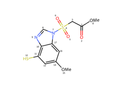 COC(=O)CS(=O)(=O)n1cnc2c(S)cc(OC)cc21